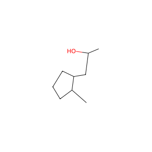 CC(O)CC1CCCC1C